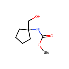 CC(C)(C)OC(=O)NC1(CO)CCCC1